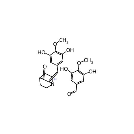 COc1c(O)cc(/C=C2\C(=O)C3CCN2CC3)cc1O.COc1c(O)cc(C=O)cc1O